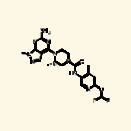 Cc1cc(OC(F)F)ncc1NC(=O)N1CCN(c2nc(N)nc3c2cnn3C)[C@@H](C)C1